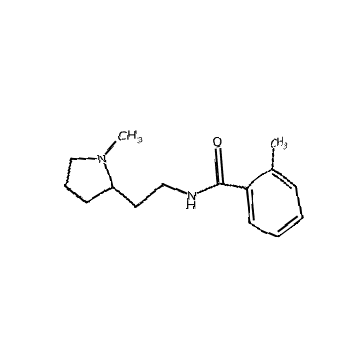 Cc1ccccc1C(=O)NCCC1CCCN1C